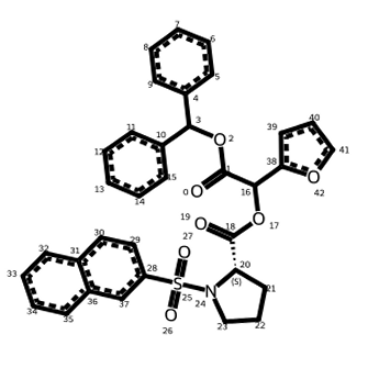 O=C(OC(c1ccccc1)c1ccccc1)C(OC(=O)[C@@H]1CCCN1S(=O)(=O)c1ccc2ccccc2c1)c1ccco1